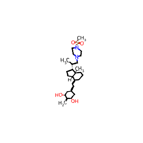 C=C1[C@H](O)C/C(=C/C=C2\CCC[C@]3(C)[C@@H](C(C)CN4CCN(S(C)(=O)=O)CC4)CC[C@@H]23)C[C@@H]1O